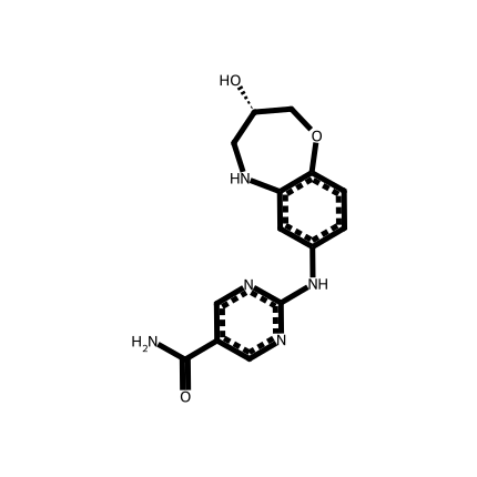 NC(=O)c1cnc(Nc2ccc3c(c2)NC[C@H](O)CO3)nc1